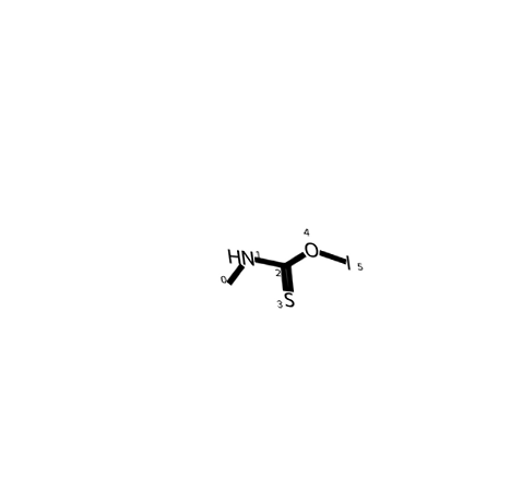 CNC(=S)OI